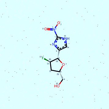 O=[N+]([O-])c1nc([C@@H]2O[C@H](CO)C[C@H]2F)c[nH]1